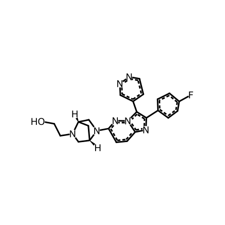 OCCN1C[C@@H]2C[C@H]1CN2c1ccc2nc(-c3ccc(F)cc3)c(-c3ccnnc3)n2n1